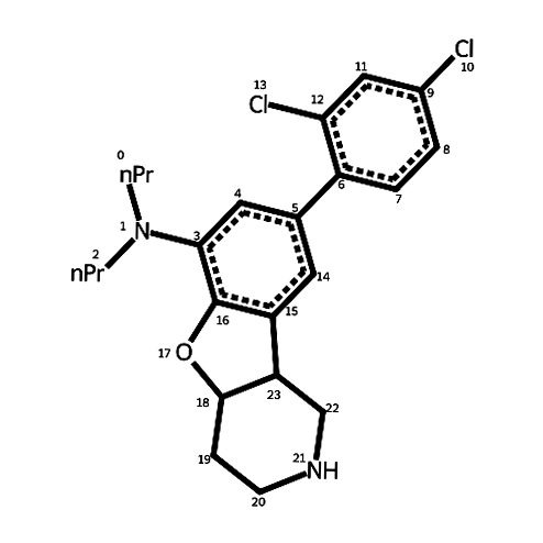 CCCN(CCC)c1cc(-c2ccc(Cl)cc2Cl)cc2c1OC1CCNCC21